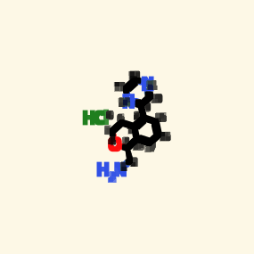 Cl.NC[C@H]1OCCc2c(-c3cnccn3)cccc21